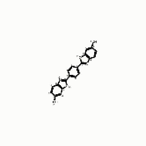 Oc1ccc2nc(-c3ccc(-c4nc5ccc(O)cc5o4)cc3)oc2c1